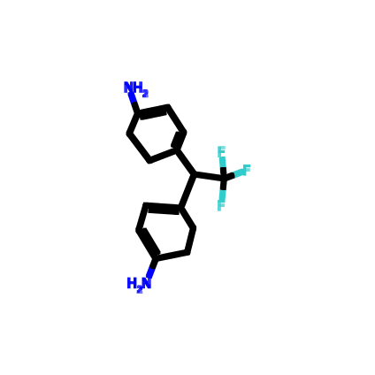 NC1=CC=C(C(C2=CC=C(N)CC2)C(F)(F)F)CC1